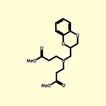 COC(=O)CCN(CCC(=O)OC)CC1COc2ccccc2O1